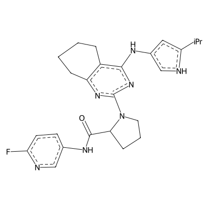 CC(C)c1cc(Nc2nc(N3CCCC3C(=O)Nc3ccc(F)nc3)nc3c2CCCC3)c[nH]1